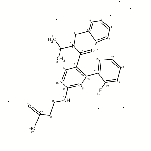 CC(C)N(Cc1ccccc1)C(=O)c1cnc(NCCC(=O)O)nc1-c1ccccc1F